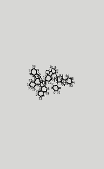 c1ccc(-c2nc(-c3cccc4oc5cc(-n6c7ccc8ccccc8c7c7c8ccccc8c8c9ccccc9sc8c76)ccc5c34)nc3c2sc2ccccc23)cc1